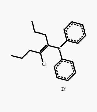 CCCC(Cl)=C(CCC)P(c1ccccc1)c1ccccc1.[Zr]